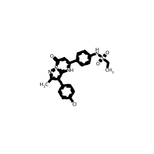 CCS(=O)(=O)Nc1ccc(-c2cc(=O)n3nc(C)c(-c4ccc(Cl)cc4)c3[nH]2)cc1